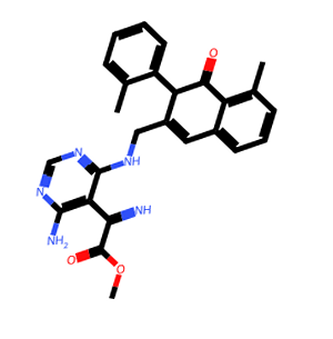 COC(=O)C(=N)c1c(N)ncnc1NCC1=Cc2cccc(C)c2C(=O)C1c1ccccc1C